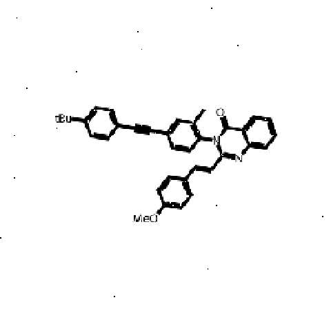 COc1ccc(/C=C/c2nc3ccccc3c(=O)n2-c2ccc(C#Cc3ccc(C(C)(C)C)cc3)cc2C)cc1